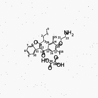 CCCCc1oc2ccccc2c1C(=O)c1cc(I)c(OCCN)c(I)c1.O=C(O)C(=O)O